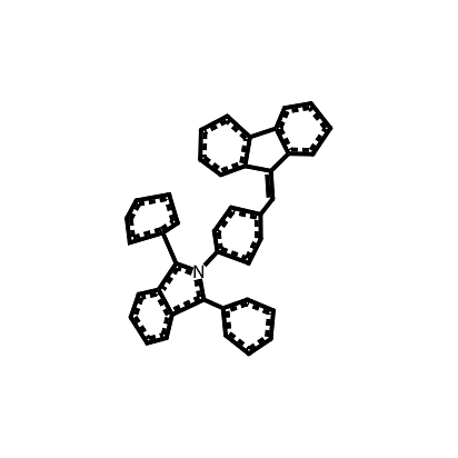 C(=C1c2ccccc2-c2ccccc21)c1ccc(-n2c(-c3ccccc3)c3ccccc3c2-c2ccccc2)cc1